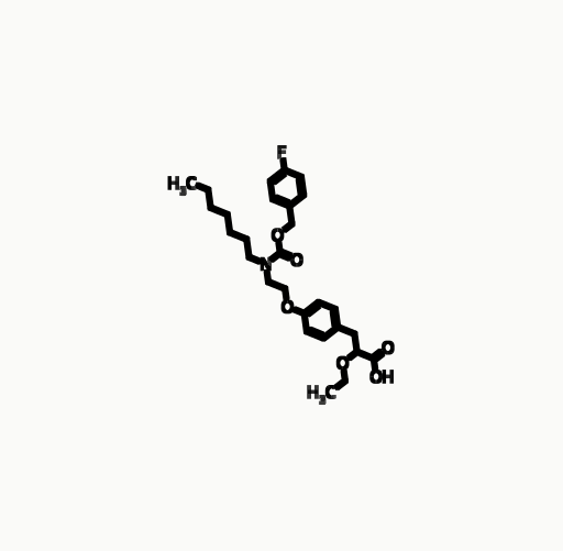 CCCCCCCN(CCOc1ccc(CC(OCC)C(=O)O)cc1)C(=O)OCc1ccc(F)cc1